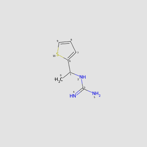 [CH2]C(NC(=N)N)c1cccs1